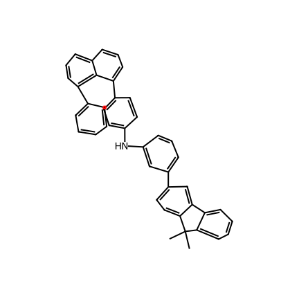 CC1(C)c2ccccc2-c2cc(-c3cccc(Nc4ccc(-c5cccc6cccc(-c7ccccc7)c56)cc4)c3)ccc21